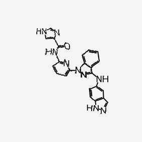 O=C(Nc1cccc(-n2nc(Nc3ccc4[nH]ncc4c3)c3ccccc32)n1)c1c[nH]cn1